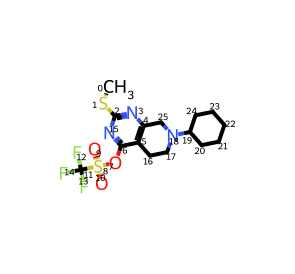 CSc1nc2c(c(OS(=O)(=O)C(F)(F)F)n1)CCN(C1CCCCC1)C2